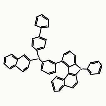 c1ccc(-c2ccc(N(c3cccc(-c4cccc5c4c4c6ccccc6ccc4n5-c4ccccc4)c3)c3ccc4ccccc4c3)cc2)cc1